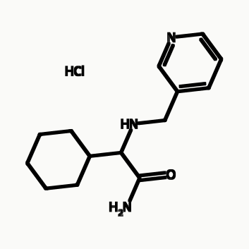 Cl.NC(=O)C(NCc1cccnc1)C1CCCCC1